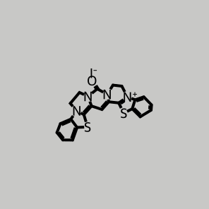 O=C1N2CC[n+]3c(sc4ccccc43)C2=CC2=C3Sc4ccccc4N3CCN12.[I-]